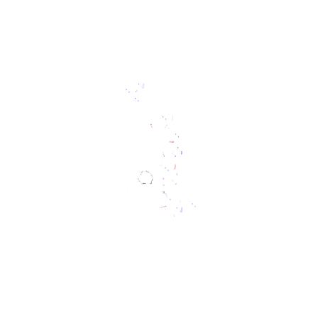 CC[C@H](C)[C@H](NC(=O)[C@H](Cc1ccc(O)cc1)NC(=O)[C@@H]1CCCN1C(=O)[C@H](C)NC(=O)[C@H](CC(C)C)NC(=O)[C@H](C)N)C(=O)N1CCC[C@H]1C(=O)N[C@@H](CCCNC(=N)N)C(=O)O